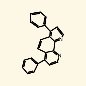 [c]1cc(-c2ccccc2)c2ccc3c(-c4ccccc4)ccnc3c2n1